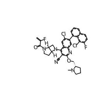 C=C(F)C(=O)N1CC[C@@H]2[C@H]1CN2c1c(C#N)c(OC[C@@H]2CCCN2C)nc2cc(-c3cccc4ccc(F)c(Cl)c34)c(Cl)cc12